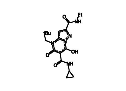 CCNC(=O)c1cc2n(CC(C)(C)C)c(=O)c(C(=O)NC3CC3)c(O)n2n1